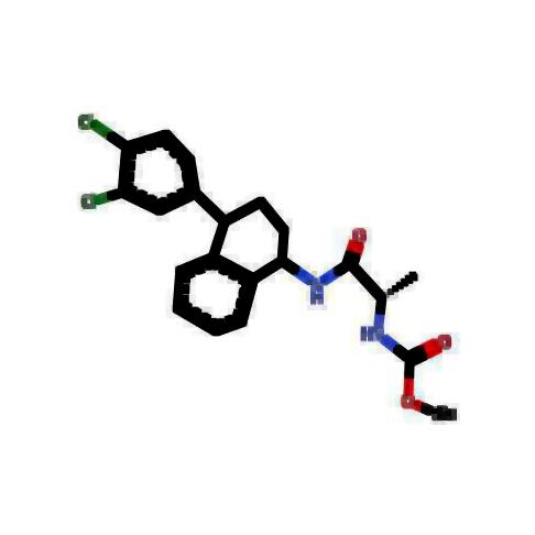 C[C@H](NC(=O)OC(C)(C)C)C(=O)NC1CCC(c2ccc(Cl)c(Cl)c2)c2ccccc21